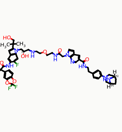 CC(C)(CO)c1cc2cc(NC(=O)C3(c4ccc5c(c4)OC(F)(F)O5)CC3)c(F)cc2n1C[C@@H](O)CNCCOCCNC(=O)Cn1ccc2cc(C(=O)NCCc3ccc(N4C[C@H]5CC[C@@H](C4)N5)cc3)cnc21